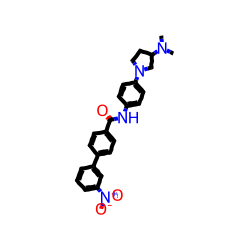 CN(C)C1CCN(c2ccc(NC(=O)c3ccc(-c4cccc([N+](=O)[O-])c4)cc3)cc2)C1